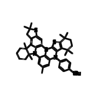 Cc1cc2c3c(c1)N1c4c(cc5c(c4C4(C)CCCCC14C)CC(C)(C)S5)B3c1sc3c(c1N2c1ccc(C(C)(C)C)cc1)C(C)(C)CCC3(C)C